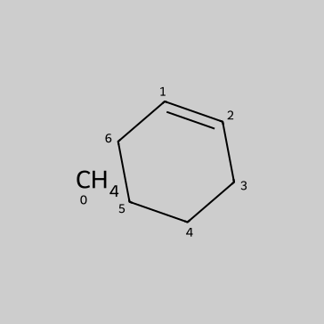 C.C1=CCCCC1